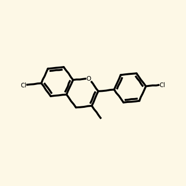 CC1=C(c2ccc(Cl)cc2)Oc2ccc(Cl)cc2C1